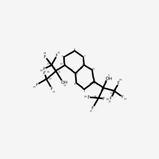 OC(C1CCC2C(CCCC2C(O)(C(F)(F)F)C(F)(F)F)C1)(C(F)(F)F)C(F)(F)F